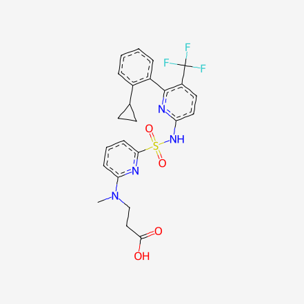 CN(CCC(=O)O)c1cccc(S(=O)(=O)Nc2ccc(C(F)(F)F)c(-c3ccccc3C3CC3)n2)n1